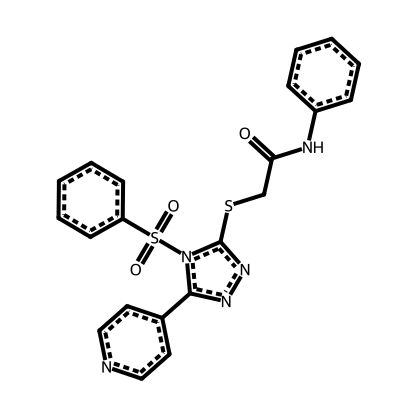 O=C(CSc1nnc(-c2ccncc2)n1S(=O)(=O)c1ccccc1)Nc1ccccc1